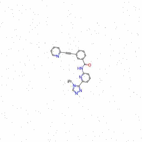 CC(C)n1cnnc1-c1cccc(NC(=O)c2cccc(C#Cc3ccccn3)c2)n1